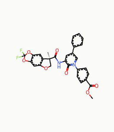 COC(=O)c1ccc(-n2cc(-c3ccccc3)cc(NC(=O)[C@@]3(C)COc4cc5c(cc43)OC(F)(F)O5)c2=O)cc1